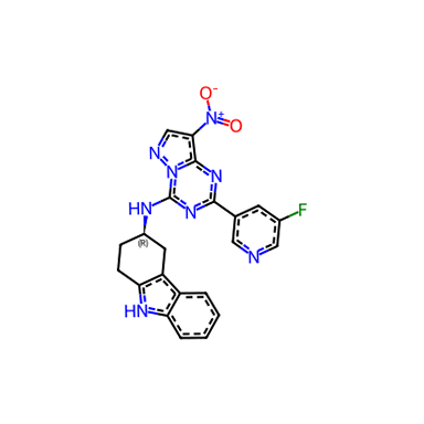 O=[N+]([O-])c1cnn2c(N[C@@H]3CCc4[nH]c5ccccc5c4C3)nc(-c3cncc(F)c3)nc12